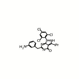 CC(C)c1[nH]n(-c2c(Cl)cc(Cl)cc2Cl)c2nc(Cc3cccc(N)c3)nc(=O)c1-2